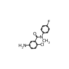 CN(C(=O)c1cc(N)ccc1Cl)c1ccc(F)cc1